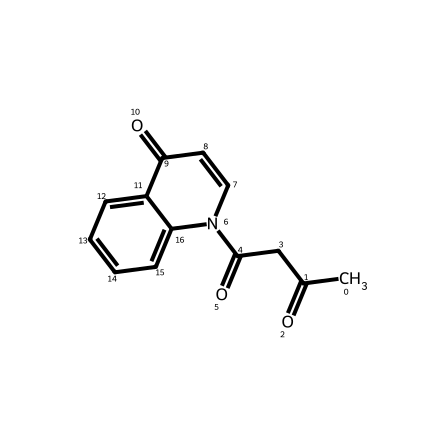 CC(=O)CC(=O)n1ccc(=O)c2ccccc21